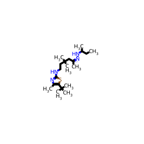 CCC(C)N/N=C(/C)CC(C)(C)CCNc1nc(C)c(C(C)(C)C)s1